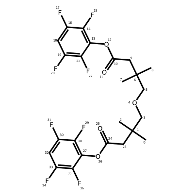 CC(C)(COCC(C)(C)CC(=O)Oc1c(F)c(F)cc(F)c1F)CC(=O)Oc1c(F)c(F)cc(F)c1F